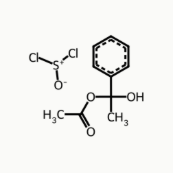 CC(=O)OC(C)(O)c1ccccc1.[O-][S+](Cl)Cl